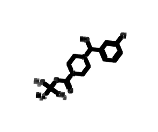 CC(C)(C)OC(=O)N1CCN(C(O)c2cccc(Cl)c2)CC1